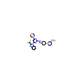 CC(=O)OC1CCCN([C@H]2CC[C@H](CNc3nc(N4CCOCC4)cc(-n4c(C(F)F)nc5ccccc54)n3)CC2)C1